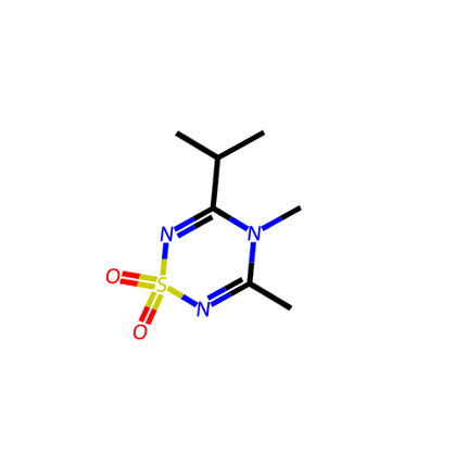 CC1=NS(=O)(=O)N=C(C(C)C)N1C